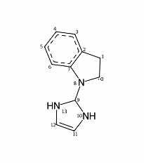 [C]1Cc2ccccc2N1C1NC=CN1